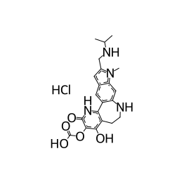 CC(C)NCc1cc2cc3c(cc2n1C)NCCc1c-3[nH]c(=O)c(OC(=O)O)c1O.Cl